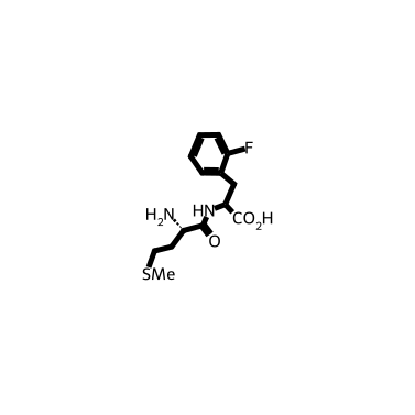 CSCC[C@H](N)C(=O)NC(Cc1ccccc1F)C(=O)O